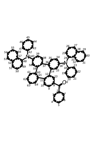 O=C(c1ccccc1)c1ccc2c(c1)-c1cc(N(c3ccccc3)c3cccc4ccccc34)ccc1-c1ccc(N(c3ccccc3)c3cccc4ccccc34)cc1-c1ccccc1-2